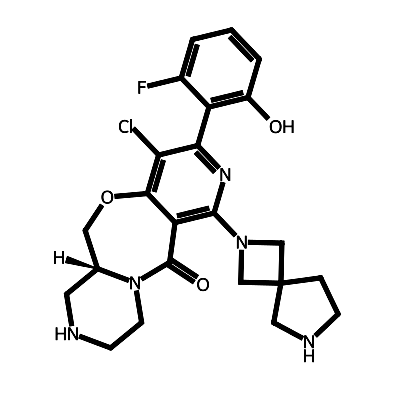 O=C1c2c(N3CC4(CCNC4)C3)nc(-c3c(O)cccc3F)c(Cl)c2OC[C@H]2CNCCN12